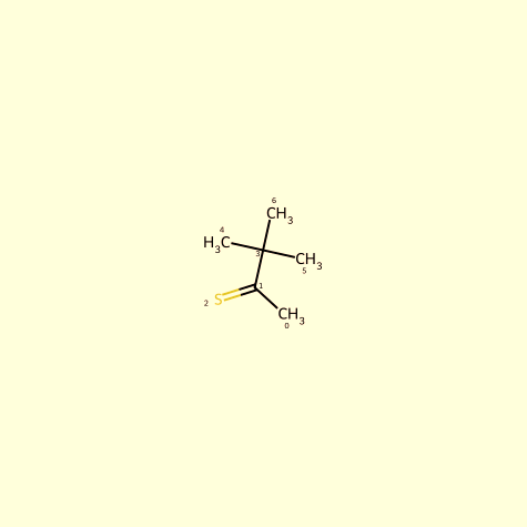 CC(=S)C(C)(C)C